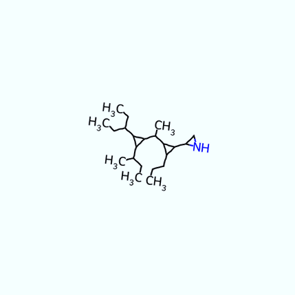 CCCC1C(C2CN2)C1C(C)C1C(C(C)CC)C1C(CC)CC